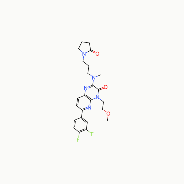 COCCn1c(=O)c(N(C)CCCN2CCCC2=O)nc2ccc(-c3ccc(F)c(F)c3)nc21